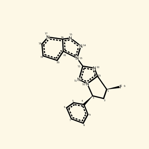 F[C@H]1C[C@@H](c2ccccc2)n2nc(-n3nnc4ncccc43)nc21